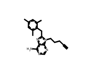 C#CCCCn1c(Cc2c(C)cc(C)cc2C)nc2c(N)ncnc21